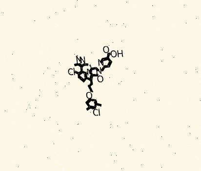 Cc1cc(OCCCc2c3n(c4c(-c5c(C)nn(C)c5C)c(Cl)ccc24)[C@@H](C)CN(Cc2ccc(C(=O)O)cn2)C3=O)cc(C)c1Cl